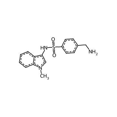 Cn1cc(NS(=O)(=O)c2ccc(CN)cc2)c2ccccc21